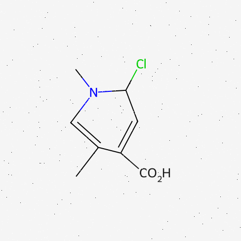 CC1=CN(C)C(Cl)C=C1C(=O)O